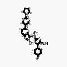 CCN(c1nc(-c2ccc(F)cc2)c(C#N)s1)c1c2nc(-c3cnc(N4CCCC4)nc3)ccc2nn1CC